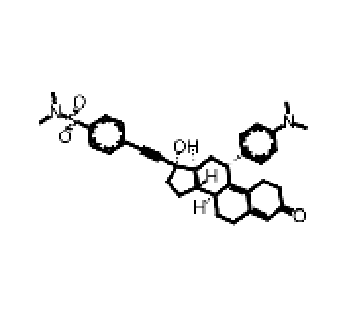 CN(C)c1ccc([C@H]2C[C@@]3(C)[C@@H](CC[C@@]3(O)C#Cc3ccc(S(=O)(=O)N(C)C)cc3)[C@@H]3CCC4=CC(=O)CCC4=C32)cc1